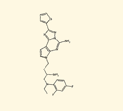 CCN(CC(N)CCn1ccc2c1nc(N)n1nc(-c3ccco3)nc21)c1ccc(F)cc1F